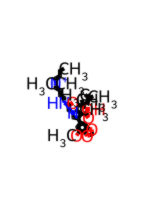 CCCC[N+](C)(C)CCCCNC(=O)CN1CC(c2cc(OC)c3c(c2)OCO3)C(C(=O)O)[C@@H]1CC(C)(C)C=C(C)C